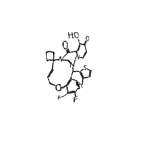 CC(C)c1ccsc1C1c2ccc(F)c(F)c2OC/C=C/C2(CCC2)N2CN1n1ccc(=O)c(O)c1C2=O